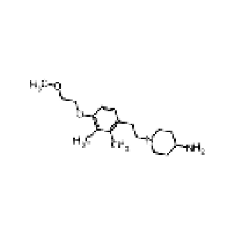 COCCOc1ccc(CCN2CCC(N)CC2)c(C)c1C